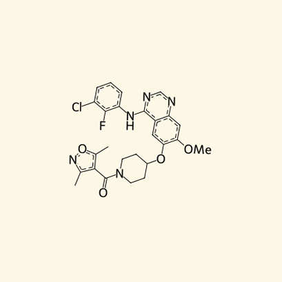 COc1cc2ncnc(Nc3cccc(Cl)c3F)c2cc1OC1CCN(C(=O)c2c(C)noc2C)CC1